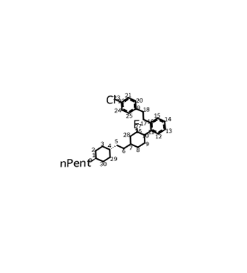 CCCCC[C@H]1CC[C@H](CCC2CCC(c3ccccc3CCc3ccc(Cl)cc3)C(F)C2)CC1